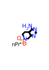 CCCS(=O)(=O)N1CCc2c(N)ncnc2C1